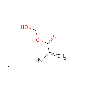 C=C(C(=O)OCO)C(C)(C)C